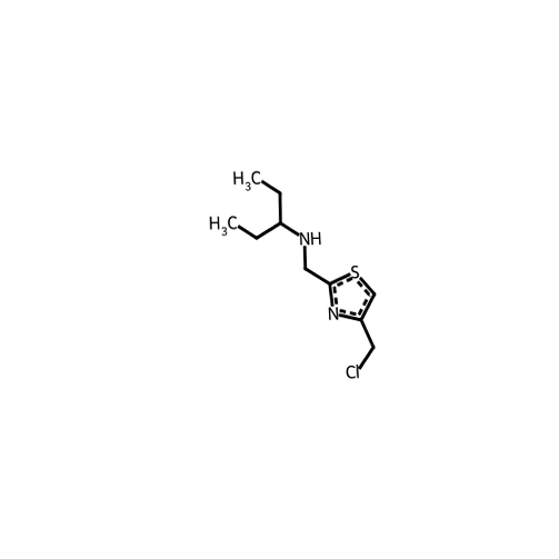 CCC(CC)NCc1nc(CCl)cs1